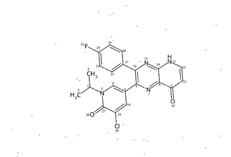 CC(C)n1cc(-c2nc3c(=O)cc[nH]c3nc2-c2ccc(F)cc2)cc(Cl)c1=O